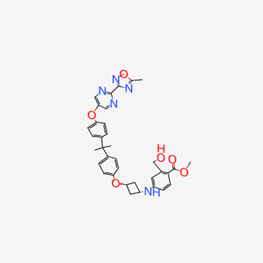 COC(=O)c1ccc(N[C@H]2C[C@H](Oc3ccc(C(C)(C)c4ccc(Oc5cnc(-c6noc(C)n6)nc5)cc4)cc3)C2)cc1CO